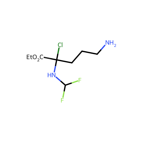 CCOC(=O)C(Cl)(CCCN)NC(F)F